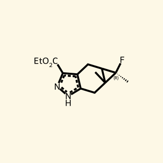 CCOC(=O)c1n[nH]c2c1CC1C(C)(C2)[C@]1(C)F